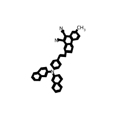 Cc1ccc2c(c1)c(C#N)c(C#N)c1cc(C=Cc3ccc(N(c4ccc5ccccc5c4)c4ccc5ccccc5c4)cc3)ccc12